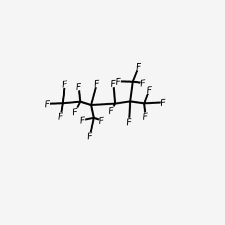 FC(F)(F)C(F)(F)C(F)(C(F)(F)F)C(F)(F)C(F)(C(F)(F)F)C(F)(F)F